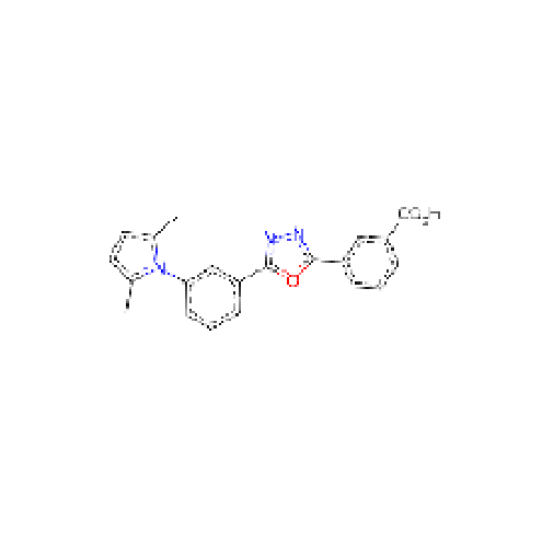 Cc1ccc(C)n1-c1cccc(-c2nnc(-c3cccc(C(=O)O)c3)o2)c1